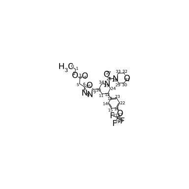 CCOC(=O)Cc1nnc(C2CC(c3ccc(OC(F)(F)F)cc3)CN(C(=O)N3CCOCC3)C2)o1